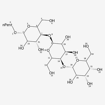 CCCCCO[C@@H]1OC(CO)[C@@H](O[C@@H]2OC(CO)[C@H](O[C@@H]3OC(CO)[C@H](O)[C@H](O)C3O)[C@H](O)C2O)[C@H](O)C1O